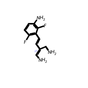 N/C=C(/C=Cc1c(F)ccc(N)c1F)CN